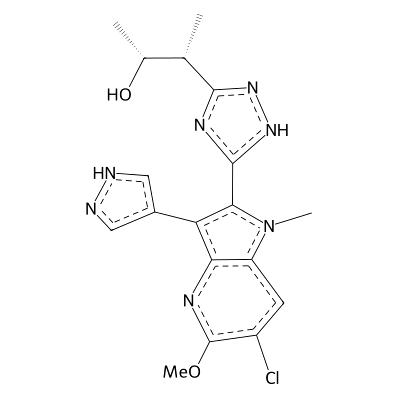 COc1nc2c(-c3cn[nH]c3)c(-c3nc([C@@H](C)[C@@H](C)O)n[nH]3)n(C)c2cc1Cl